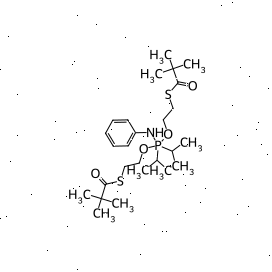 CC(C)P(Nc1ccccc1)(OCCSC(=O)C(C)(C)C)(OCCSC(=O)C(C)(C)C)C(C)C